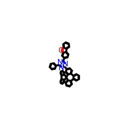 c1ccc(-c2nc(-c3ccc4c(c3)C3(c5ccccc5-c5ccccc5-4)c4ccccc4-c4ccccc43)nc(-c3ccc4c(c3)oc3ccccc34)n2)cc1